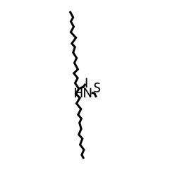 CCCCCCCCCCCCCCCC(CCCCCCCCCCCCCC)C(I)NC(C)=S